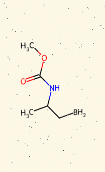 BCC(C)NC(=O)OC